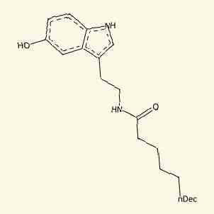 CCCCCCCCCCCCCCC(=O)NCCc1c[nH]c2ccc(O)cc12